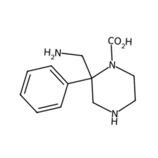 NCC1(c2ccccc2)CNCCN1C(=O)O